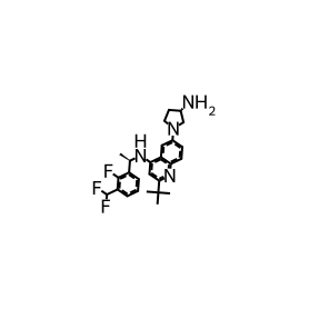 C[C@@H](Nc1cc(C(C)(C)C)nc2ccc(N3CC[C@@H](N)C3)cc12)c1cccc(C(F)F)c1F